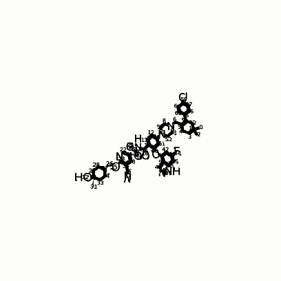 CC1(C)CCC(CN2CCN(c3ccc(C(=O)NS(=O)(=O)c4cnc(OC[C@H]5CC[C@](C)(O)CC5)c(C#N)c4)c(Oc4cc(F)cc5[nH]ncc45)c3)CC2)=C(c2ccc(Cl)cc2)C1